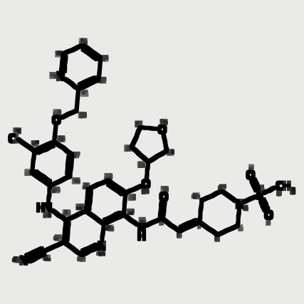 CS(=O)(=O)N1CCC(=CC(=O)Nc2c(OC3CCOC3)ccc3c(Nc4ccc(OCc5ccccn5)c(Cl)c4)c(C#N)cnc23)CC1